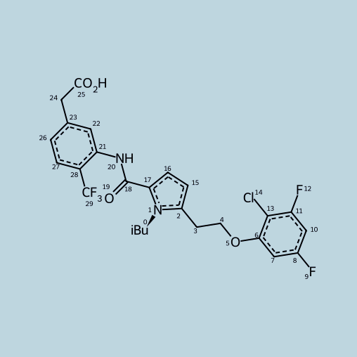 CC[C@H](C)n1c(CCOc2cc(F)cc(F)c2Cl)ccc1C(=O)Nc1cc(CC(=O)O)ccc1C(F)(F)F